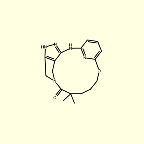 CC1(C)CCCOc2cccc(n2)Nc2n[nH]c3c2CN(C3)C1=O